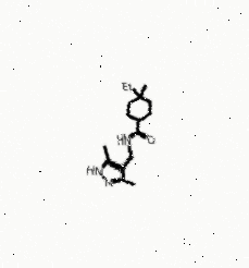 CCC1(C)CCC(C(=O)NCc2c(C)n[nH]c2C)CC1